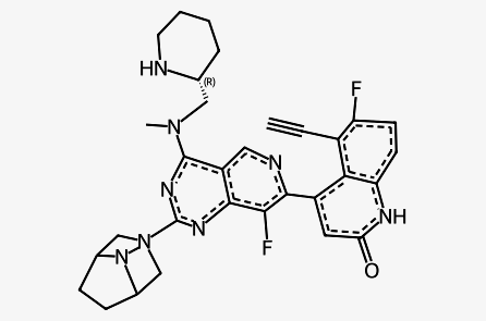 C#Cc1c(F)ccc2[nH]c(=O)cc(-c3ncc4c(N(C)C[C@H]5CCCCN5)nc(N5CC6CCC(C5)N6C)nc4c3F)c12